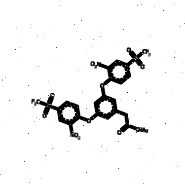 COC(=O)Cc1cc(Oc2ccc(S(=O)(=O)C(F)(F)F)cc2[N+](=O)[O-])cc(Oc2ccc(S(=O)(=O)C(F)(F)F)cc2[N+](=O)[O-])c1